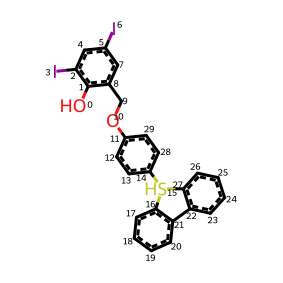 Oc1c(I)cc(I)cc1COc1ccc([SH]2c3ccccc3-c3ccccc32)cc1